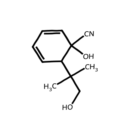 CC(C)(CO)C1C=CC=CC1(O)C#N